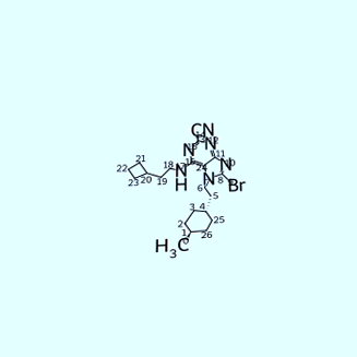 C[C@H]1CC[C@H](CCn2c(Br)nc3nc(C#N)nc(NCCC4CCC4)c32)CC1